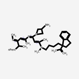 C=C(C)C1(CCCCN(C)/C(C)=C/C(=N\C(C)=C\C(=N/C)C(C)CCCCC)N2CC(N)C2)CCc2ccccc21